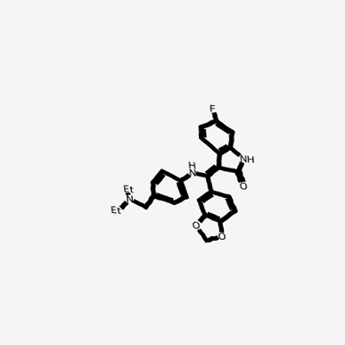 CCN(CC)Cc1ccc(NC(=C2C(=O)Nc3cc(F)ccc32)c2ccc3c(c2)OCO3)cc1